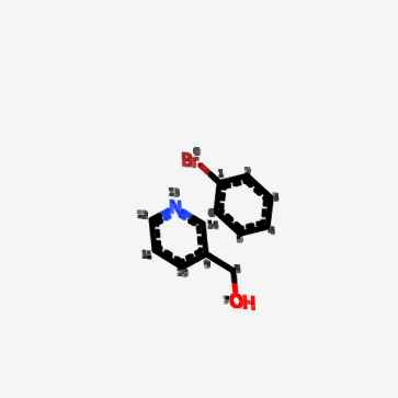 Brc1ccccc1.OCc1cccnc1